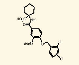 COc1cc(C(=O)NC2(C(=O)O)CCCCC2)ccc1OCc1ccc(Cl)cc1Cl